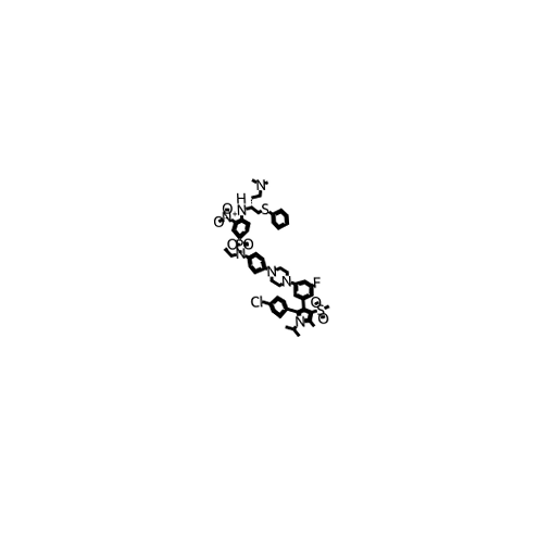 Cc1c(S(C)(=O)=O)c(-c2cc(F)cc(N3CCN(c4ccc(N5CCOP5(=O)c5ccc(N[C@H](CCN(C)C)CSc6ccccc6)c([N+](=O)[O-])c5)cc4)CC3)c2)c(-c2ccc(Cl)cc2)n1C(C)C